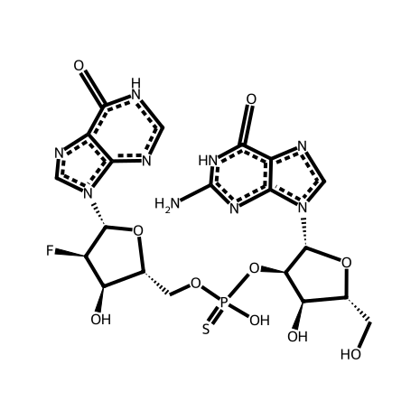 Nc1nc2c(ncn2[C@@H]2O[C@H](CO)[C@@H](O)[C@H]2OP(O)(=S)OC[C@H]2O[C@@H](n3cnc4c(=O)[nH]cnc43)[C@H](F)[C@@H]2O)c(=O)[nH]1